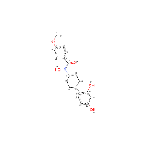 COc1ccc(C(=O)N(O)[C@H]2CC[C@@H](c3ccc(O)cc3O)CC2)cc1